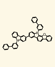 c1ccc(-c2cccc(-n3c4ccccc4c4cc(-c5ccc6c(c5)c5ccc7c8ccccc8oc7c5n6-c5cccc(-c6ccccc6)c5)ccc43)c2)cc1